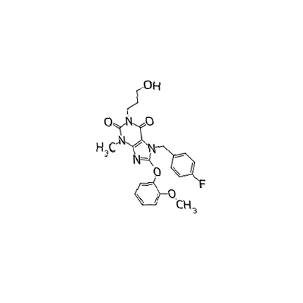 COc1ccccc1Oc1nc2c(c(=O)n(CCCO)c(=O)n2C)n1Cc1ccc(F)cc1